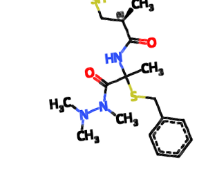 C[C@H](CS)C(=O)NC(C)(SCc1ccccc1)C(=O)N(C)N(C)C